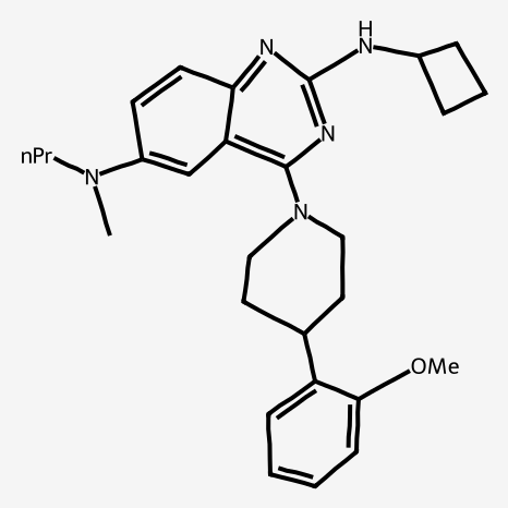 CCCN(C)c1ccc2nc(NC3CCC3)nc(N3CCC(c4ccccc4OC)CC3)c2c1